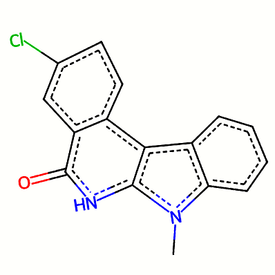 Cn1c2ccccc2c2c3ccc(Cl)cc3c(=O)[nH]c21